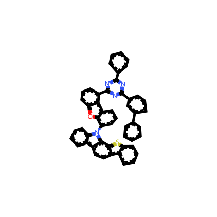 c1ccc(-c2cccc(-c3nc(-c4ccccc4)nc(-c4cccc5oc6c(-n7c8ccccc8c8ccc9c%10ccccc%10sc9c87)cccc6c45)n3)c2)cc1